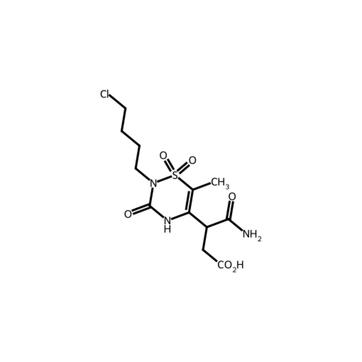 CC1=C(C(CC(=O)O)C(N)=O)NC(=O)N(CCCCCl)S1(=O)=O